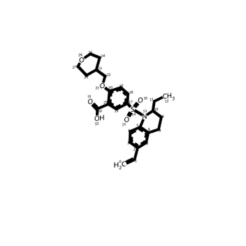 C=Cc1ccc2c(c1)CCC(CC)N2S(=O)(=O)c1ccc(OCC2CCOCC2)c(C(=O)O)c1